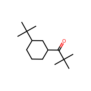 CC(C)(C)C(=O)C1CCCC(C(C)(C)C)C1